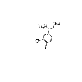 CC(C)(C)CC(N)c1ccc(F)c(Cl)c1